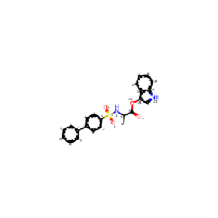 CC(NS(=O)(=O)c1ccc(-c2ccccc2)cc1)C(=O)Oc1c[nH]c2ccccc12